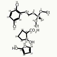 CCOP(=S)(OCC)SCSc1cc(Cl)ccc1Cl.O=C(O)C1CCCN1O.Oc1ccco1